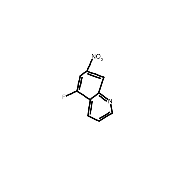 O=[N+]([O-])c1cc(F)c2cccnc2c1